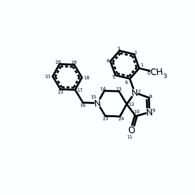 Cc1ccccc1N1C=NC(=O)C12CCN(Cc1ccccc1)CC2